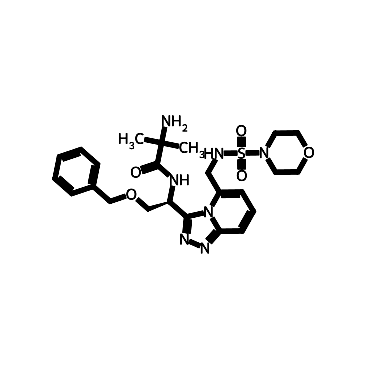 CC(C)(N)C(=O)N[C@H](COCc1ccccc1)c1nnc2cccc(CNS(=O)(=O)N3CCOCC3)n12